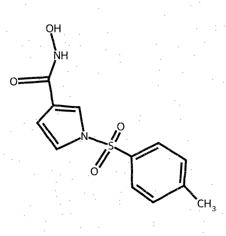 Cc1ccc(S(=O)(=O)n2ccc(C(=O)NO)c2)cc1